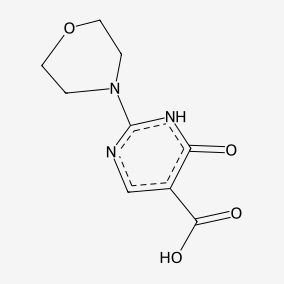 O=C(O)c1cnc(N2CCOCC2)[nH]c1=O